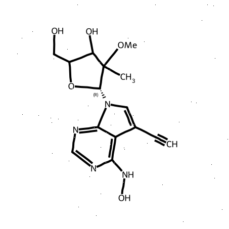 C#Cc1cn([C@@H]2OC(CO)C(O)C2(C)OC)c2ncnc(NO)c12